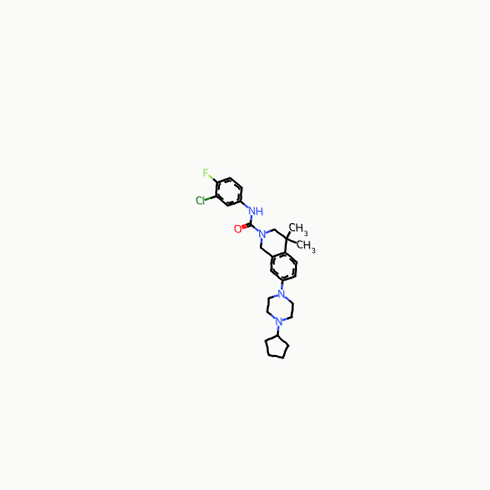 CC1(C)CN(C(=O)Nc2ccc(F)c(Cl)c2)Cc2cc(N3CCN(C4CCCC4)CC3)ccc21